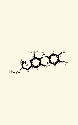 CC(C)c1cc(C[C@H](N)C(=O)O)cc(C(C)C)c1Oc1ccc(O)c(I)c1